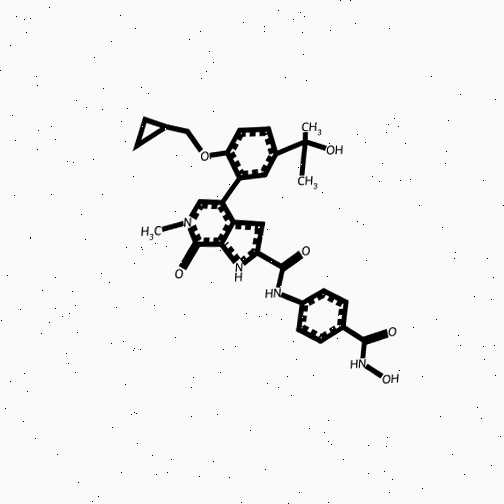 Cn1cc(-c2cc(C(C)(C)O)ccc2OCC2CC2)c2cc(C(=O)Nc3ccc(C(=O)NO)cc3)[nH]c2c1=O